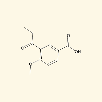 CCC(=O)c1cc(C(=O)O)ccc1OC